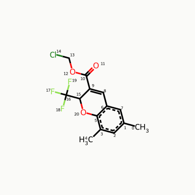 Cc1cc(C)c2c(c1)C=C(C(=O)OCCl)C(C(F)(F)F)O2